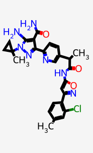 Cc1ccc(-c2cc(NC(=O)C(C)c3ccc(-c4nn(C5(C)CC5)c(N)c4C(N)=O)nc3)on2)c(Cl)c1